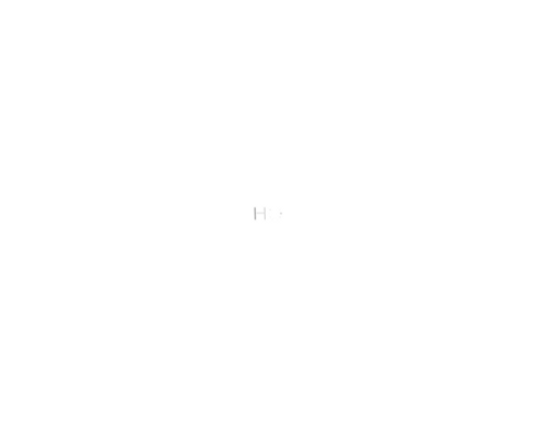 CC(=CC(O)=Cc1ccccc1)c1ccccc1